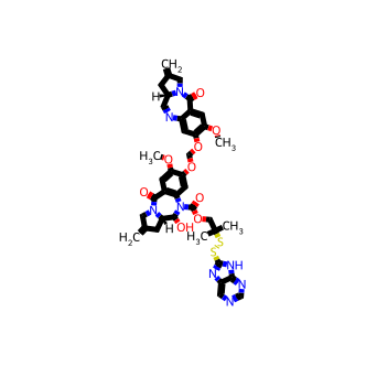 C=C1C[C@H]2C=Nc3cc(OCOc4cc5c(cc4OC)C(=O)N4CC(=C)C[C@H]4C(O)N5C(=O)OCC(C)(C)SSc4nc5cncnc5[nH]4)c(OC)cc3C(=O)N2C1